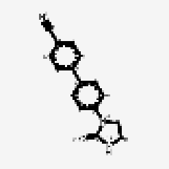 N#Cc1ccc(-c2ccc(N3CCNC3=O)cc2)cc1